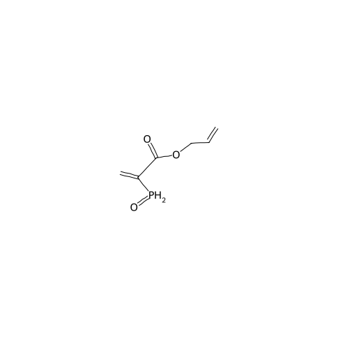 C=CCOC(=O)C(=C)[PH2]=O